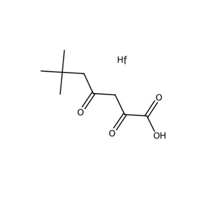 CC(C)(C)CC(=O)CC(=O)C(=O)O.[Hf]